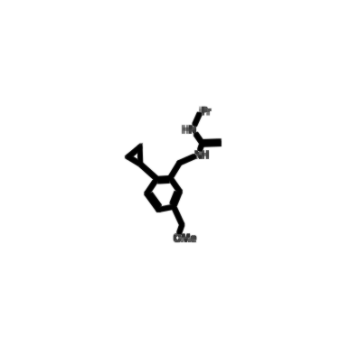 C=C(NCc1cc(COC)ccc1C1CC1)NC(C)C